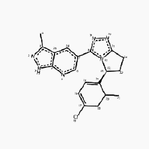 Cc1n[nH]c2ncc(-c3nnc4n3[C@H](C3=CC=C(Cl)CC3C)CC4)cc12